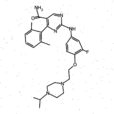 Cc1cccc(C)c1-c1nc(Nc2ccc(OCCN3CCN(C(C)C)CC3)c(F)c2)ncc1C(N)=O